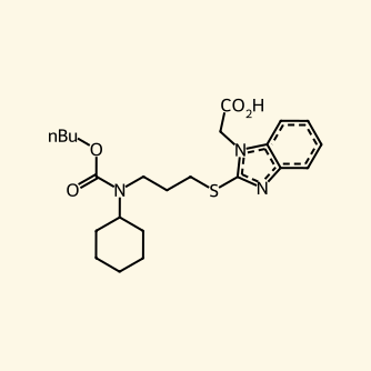 CCCCOC(=O)N(CCCSc1nc2ccccc2n1CC(=O)O)C1CCCCC1